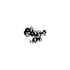 C[C@@H]1CN2c3c4c(nc5c(F)c(-c6c(F)ccc7ccoc67)c(Cl)cc35)O[C@@H]([C@@H]3CCCN3C)CN4C(=O)[C@H]2CN1